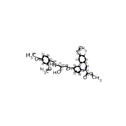 COC(=O)/C(=C/c1ccc(SC)cc1)c1ccc(OCC(O)CNCc2ccc(OC)cc2OC)cc1